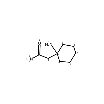 NC(=O)CC1(N)CCCCC1